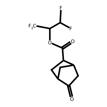 O=C1CC2CC1CC2C(=O)OC(C(F)F)C(F)(F)F